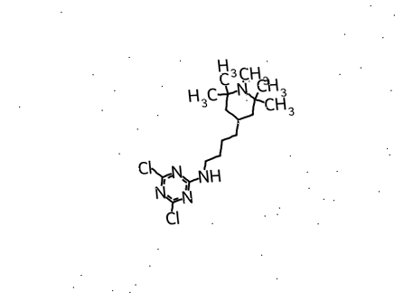 CN1C(C)(C)CC(CCCCNc2nc(Cl)nc(Cl)n2)CC1(C)C